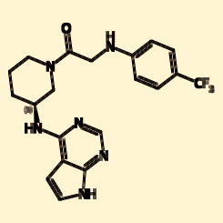 O=C(CNc1ccc(C(F)(F)F)cc1)N1CCC[C@H](Nc2ncnc3[nH]ccc23)C1